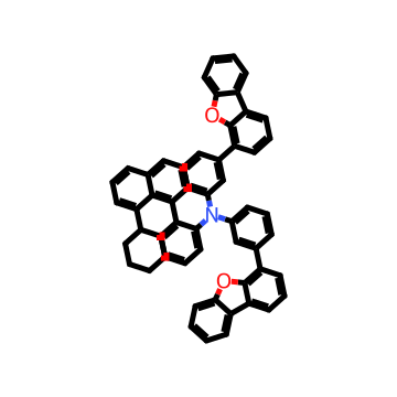 c1cc(-c2cccc3c2oc2ccccc23)cc(N(c2cccc(-c3cccc4c3oc3ccccc34)c2)c2ccccc2-c2cccc3cccc(C4CCCCC4)c23)c1